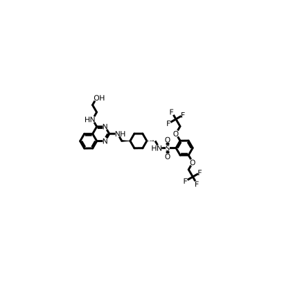 O=S(=O)(NC[C@H]1CC[C@H](CNc2nc(NCCO)c3ccccc3n2)CC1)c1cc(OCC(F)(F)F)ccc1OCC(F)(F)F